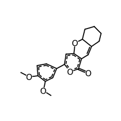 COc1ccc(-c2cc3c(c(=O)o2)C=C2CCCCC2O3)cc1OC